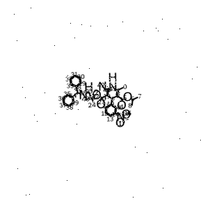 CC1=C(C(=O)OC(C)C)C(c2cccc([N+](=O)[O-])c2)C(C(=O)OC2(C)CN(C(c3ccccc3)c3ccccc3)C2)=C(N)N1